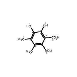 CCCCCCCCc1c(OC)c(OC)c(O)c(O)c1C(=O)O